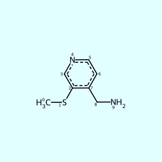 CSc1cnccc1CN